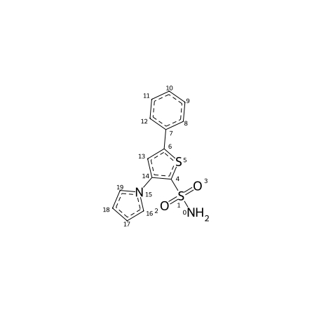 NS(=O)(=O)c1sc(-c2ccccc2)cc1-n1cccc1